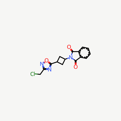 O=C1c2ccccc2C(=O)N1C1CC(c2nc(CCl)no2)C1